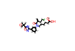 C=C(CCF)C(=O)N(CCCCCC(=O)O)c1cccc(-c2noc(C3(C)COC3)n2)c1